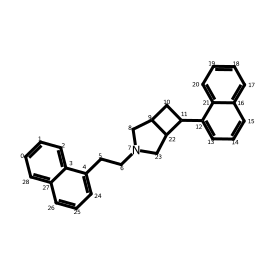 c1ccc2c(CCN3CC4CC(c5cccc6ccccc56)C4C3)cccc2c1